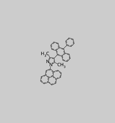 Cc1nn(-c2cc3cccc4ccc5cccc2c5c43)c(C)c1-c1c2ccccc2c(-c2ccccc2)c2ccccc12